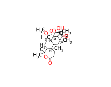 C=C1[C@]2(C)CC3[C@@]4(C)CCC(=O)OC(C)(C)C4CC[C@@]3(C)[C@@]1(C(=O)OC)C(=O)[C@@](C)(O)C2=O